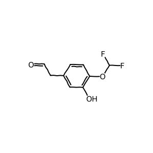 O=CCc1ccc(OC(F)F)c(O)c1